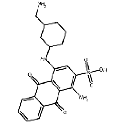 NCC1CCCC(Nc2cc(S(=O)(=O)O)c(N)c3c2C(=O)c2ccccc2C3=O)C1